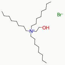 CCCCCCCC[N+](CCO)(CCCCCCCC)CCCCCCCC.[Br-]